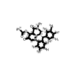 [2H]c1c([2H])c([2H])c(C(c2c([2H])c([2H])c([2H])c([2H])c2[2H])[C@H]2CN(C(C)C)C(=O)c3c(OC(=O)C(C)C)c(=O)cnn32)c([2H])c1[2H]